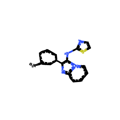 O=[N+]([O-])c1cccc(-c2nc3ccccn3c2Nc2nccs2)c1